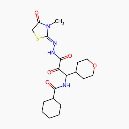 CN1C(=O)CSC1=NNC(=O)C(=O)C(NC(=O)C1CCCCC1)C1CCOCC1